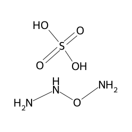 NNON.O=S(=O)(O)O